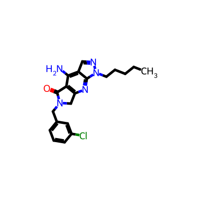 CCCCCn1ncc2c(N)c3c(nc21)CN(Cc1cccc(Cl)c1)C3=O